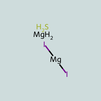 S.[I][Mg][I].[MgH2]